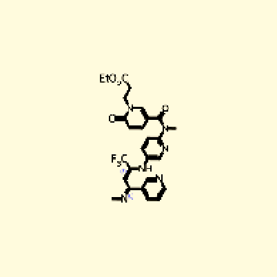 CCOC(=O)CCn1cc(C(=O)N(C)c2ccc(N/C(=C\C(=N/C)c3cccnc3)C(F)(F)F)cn2)ccc1=O